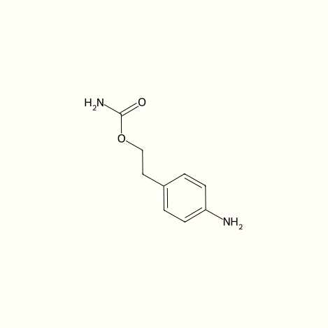 NC(=O)OCCc1ccc(N)cc1